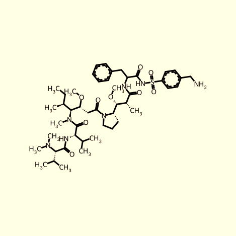 CC[C@H](C)[C@@H]([C@@H](CC(=O)N1CCC[C@H]1[C@H](OC)[C@@H](C)C(=O)NC(Cc1ccccc1)C(=O)NS(=O)(=O)c1ccc(CN)cc1)OC)N(C)C(=O)[C@@H](NC(=O)[C@H](C(C)C)N(C)C)C(C)C